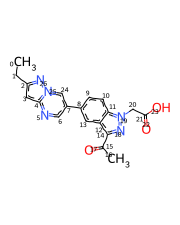 CCc1cc2ncc(-c3ccc4c(c3)c(C(C)=O)nn4CC(=O)O)cn2n1